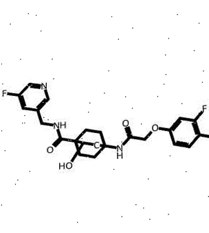 O=C(COc1ccc(Cl)c(F)c1)NC12CCC(C(=O)NCc3cncc(F)c3)(CC1)C(O)C2